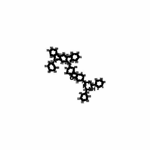 c1ccc(C2=NC(c3ccc4c(c3)oc3ccc(-n5c6ccccc6c6cc7c8ccccc8n(-c8ccccc8)c7cc65)cc34)=NC(c3ccccc3)N2)cc1